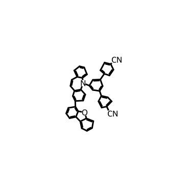 N#Cc1ccc(-c2cc(-c3ccc(C#N)cc3)cc(N3c4ccccc4C=Cc4cc(-c5cccc6c5oc5ccccc56)ccc43)c2)cc1